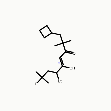 CCC(CC(C)(C)F)/C(O)=C/C(=O)C(C)(C)CC1CCC1